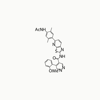 COc1ccccc1-c1cnncc1C(=O)Nc1nc2ccc(-c3cc(C)c(NC(C)=O)cc3C)nc2s1